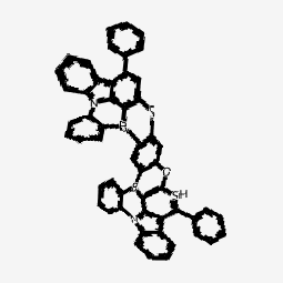 c1ccc(C2=[SH]C3=C4B(c5cc6c(cc5O3)Sc3cc(-c5ccccc5)c5c7ccccc7n7c5c3B6c3ccccc3-7)c3ccccc3-n3c4c2c2ccccc23)cc1